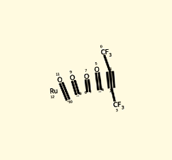 FC(F)(F)C#CC(F)(F)F.[C]=O.[C]=O.[C]=O.[C]=O.[Ru]